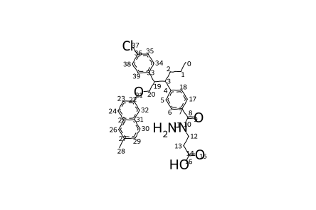 CCCC(c1ccc(C(=O)N(N)CCC(=O)O)cc1)C(COc1ccc2cc(C)ccc2c1)c1ccc(Cl)cc1